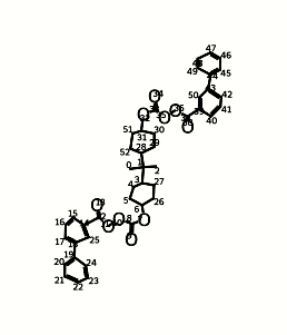 CC(C)(C1CCC(OC(=O)OOC(=O)c2cccc(-c3ccccc3)c2)CC1)C1CCC(OC(=O)OOC(=O)c2cccc(-c3ccccc3)c2)CC1